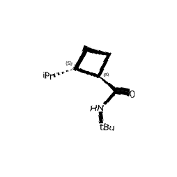 CC(C)[C@@H]1CC[C@H]1C(=O)NC(C)(C)C